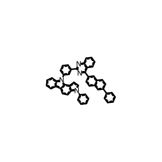 c1ccc(-c2ccc3cc(-c4nc(-c5cccc(-n6c7ccccc7c7ccc8c(ccn8-c8ccccc8)c76)c5)nc5ccccc45)ccc3c2)cc1